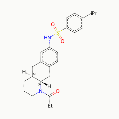 CCC(=O)N1CCC[C@H]2Cc3cc(NS(=O)(=O)c4ccc(C(C)C)cc4)ccc3C[C@@H]21